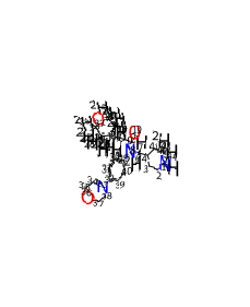 [2H]N1CCC(C([2H])([2H])N(C(=O)C([2H])([2H])C2([2H])C([2H])([2H])C([2H])([2H])OC([2H])([2H])C2([2H])[2H])c2ccc(N3CCOCC3)cc2)CC1([2H])[2H]